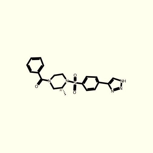 C[C@@H]1CN(C(=O)c2ccccc2)CCN1S(=O)(=O)c1ccc(-c2c[nH]nn2)cc1